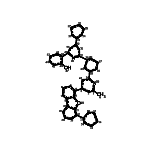 Cc1cc(-c2cccc3c2oc2c(-c4ccccc4)cccc23)cc(-c2cccc(-c3cc(-c4ccccc4)cc(-c4ccccc4O)n3)c2)n1